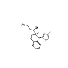 CCC(CCC(C)=O)C1(C)C=Cc2ccccc2N1c1cc(C)cs1